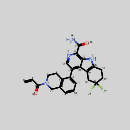 C=CC(=O)N1CCc2c(cccc2-c2cnc(C(N)=O)c3[nH]c4c(c23)CC(F)(F)CC4)C1